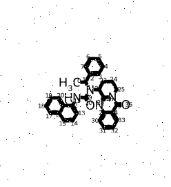 CC(c1ccccc1)N(C(=O)Nc1cccc2ccccc12)C1CCCn2c1nc1ccccc1c2=O